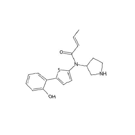 CC=CC(=O)N(c1ccc(-c2ccccc2O)s1)C1CCNC1